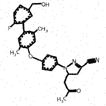 CC(=O)CC1CC(C#N)=NN1c1ccc(Oc2cc(C)c(-c3cc(CO)ccc3F)cc2C)cc1